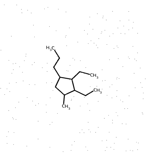 CCCC1CC(C)C(CC)C1CC